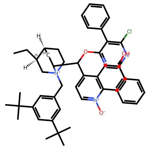 CC[C@@H]1C[N+]2(Cc3cc(C(C)(C)C)cc(C(C)(C)C)c3)CC[C@H]1CC2C(Oc1nc(-c2ccccc2)nc(Cl)c1-c1ccccc1)c1cc[n+]([O-])c2ccc(O)cc12